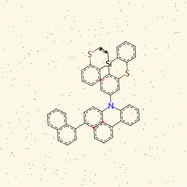 c1ccc(-c2ccccc2N(c2ccc(-c3cccc4ccccc34)cc2)c2ccc3c(c2)Sc2ccccc2[Si]32c3ccccc3Sc3ccccc32)cc1